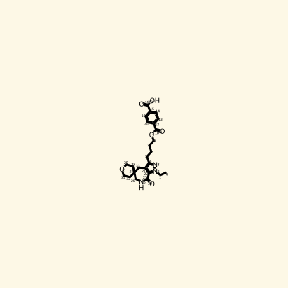 CCn1nc(CCCCOC(=O)c2ccc(C(=O)O)cc2)c2c1C(=O)NCC1(CCOCC1)C2